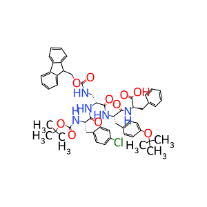 CC(C)(C)OC(=O)N[C@@H](Cc1ccc(Cl)cc1)C(=O)N[C@H](CNC(=O)OCC1c2ccccc2-c2ccccc21)C(=O)N[C@@H](Cc1ccc(OC(C)(C)C)cc1)C(=O)N[C@H](Cc1ccccc1)C(=O)O